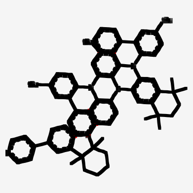 CC(C)(C)c1ccc(N2c3cc(N4c5ccc(-c6ccncc6)cc5C5(C)CCCCC45C)ccc3B3c4cc5c(cc4N(c4ccc(C(C)(C)C)cc4-c4ccccc4)c4cc(C(C)(C)C)cc2c43)C(C)(C)CCC5(C)C)c(-c2ccccc2)c1